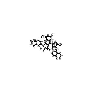 CC1CCN(C(Cc2cccc3ccccc23)C(N)=O)C(=O)C(c2cc(Cl)cc(Cl)c2)N1C(=O)Cc1ccc2ncccc2c1